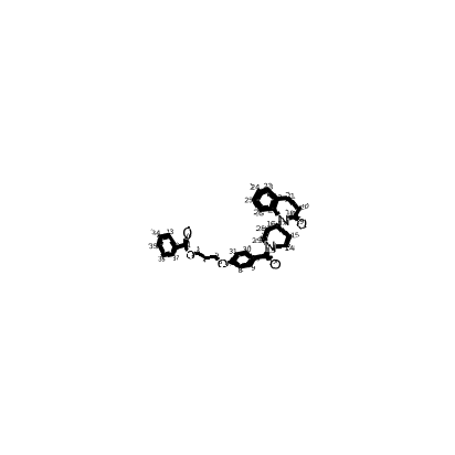 O=C(OCCCOc1ccc(C(=O)N2CCC(N3C(=O)CCc4ccccc43)CC2)cc1)c1ccccc1